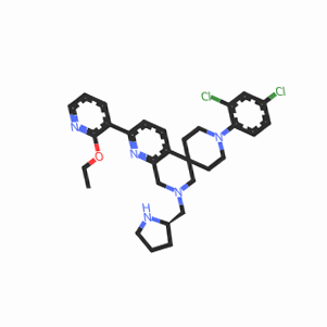 CCOc1ncccc1-c1ccc2c(n1)CN(C[C@H]1CCCN1)CC21CCN(c2ccc(Cl)cc2Cl)CC1